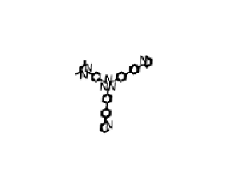 Cc1cc(C)nc(-c2ccc(-c3nc(-c4ccc(-c5ccc(-c6ccccn6)cc5)cc4)nc(-c4ccc(-c5ccc(-c6ccccn6)cc5)cc4)n3)cc2)n1